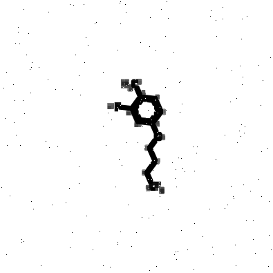 Cc1ccc(OCCCC(F)(F)F)cc1F